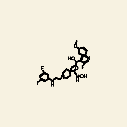 COc1ccc2ncc(F)c([C@H](O)CCC3(C(=O)NO)CCN(CCNc4cc(F)cc(F)c4)CC3)c2c1